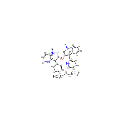 CN(C)CC(OC(CN(C)C)C(c1ccccc1)c1ccccn1)C(c1ccccc1)c1ccccn1.O=C(O)CCC(=O)O